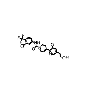 O=C(Nc1ccc(C(F)(F)F)c(Cl)c1)N1CC=C(c2ncc(CCO)cc2Cl)CC1